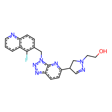 OCCN1CC(c2ccc3nnn(Cc4ccc5ncccc5c4F)c3n2)C=N1